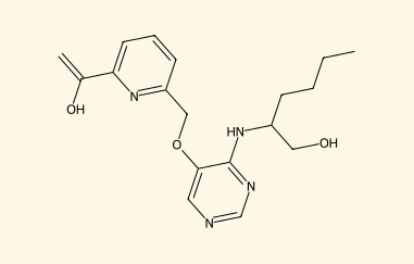 C=C(O)c1cccc(COc2cncnc2NC(CO)CCCC)n1